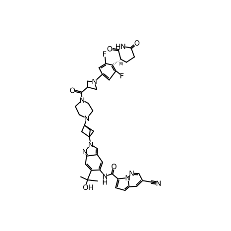 CC(C)(O)c1cc2nn(C34CC(N5CCN(C(=O)C6CN(c7cc(F)c([C@H]8CCC(=O)NC8=O)c(F)c7)C6)CC5)(C3)C4)cc2cc1NC(=O)c1ccc2cc(C#N)cnn12